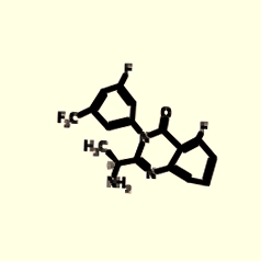 C[C@H](N)c1nc2cccc(F)c2c(=O)n1-c1cc(F)cc(C(F)(F)F)c1